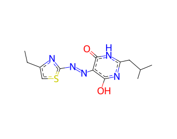 CCc1csc(N=Nc2c(O)nc(CC(C)C)[nH]c2=O)n1